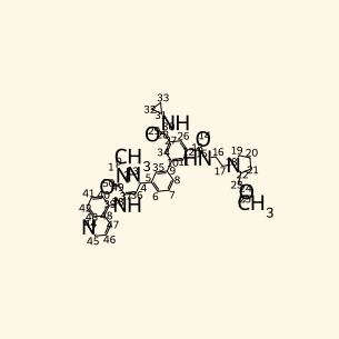 CCn1nc(-c2cccc(-c3cc(C(=O)NCCN4CCC[C@H]4COC)cc(C(=O)NC4CC4)c3)c2)cc(Nc2cccc3ncccc23)c1=O